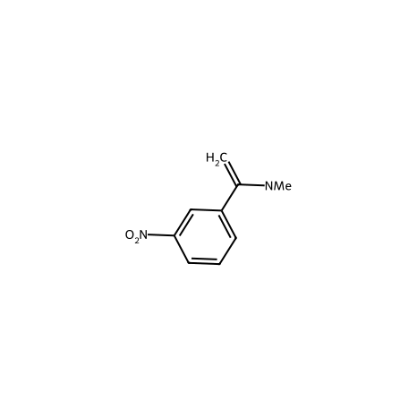 C=C(NC)c1cccc([N+](=O)[O-])c1